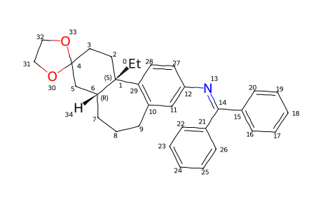 CC[C@]12CCC3(C[C@H]1CCCc1cc(N=C(c4ccccc4)c4ccccc4)ccc12)OCCO3